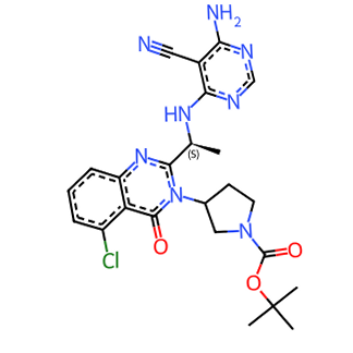 C[C@H](Nc1ncnc(N)c1C#N)c1nc2cccc(Cl)c2c(=O)n1C1CCN(C(=O)OC(C)(C)C)C1